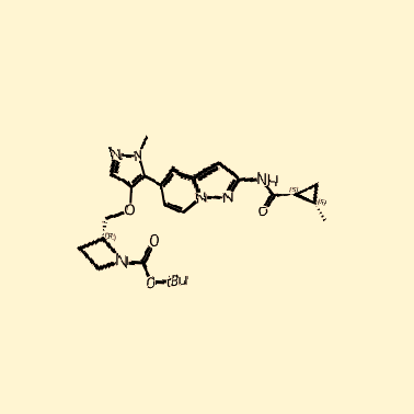 C[C@H]1C[C@@H]1C(=O)Nc1cc2cc(-c3c(OC[C@H]4CCN4C(=O)OC(C)(C)C)cnn3C)ccn2n1